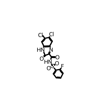 O=C(NS(=O)(=O)c1ccccc1F)c1nc2cc(Cl)c(Cl)cc2[nH]c1=O